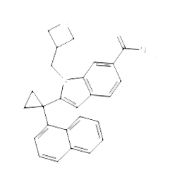 NC(=O)c1ccc2cc(C3(c4cccc5ccccc45)CC3)n(CC3COC3)c2c1